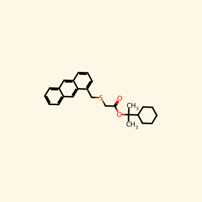 CC(C)(OC(=O)CSCc1cccc2cc3ccccc3cc12)C1CCCCC1